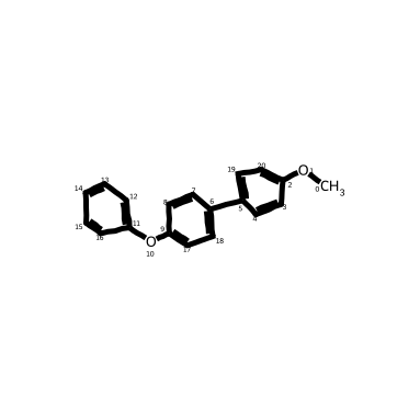 COc1ccc(-c2ccc(Oc3ccccc3)cc2)cc1